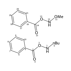 CCCCNOC(=O)c1ccccc1.CONOC(=O)c1ccccc1